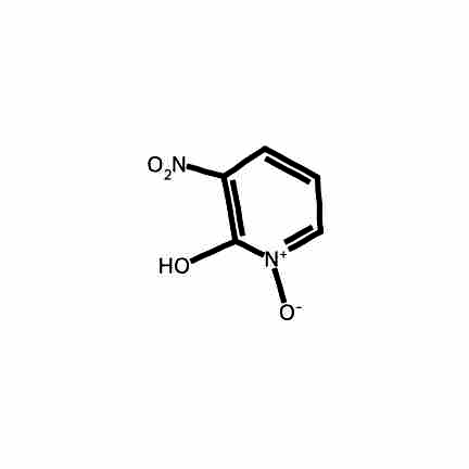 O=[N+]([O-])c1ccc[n+]([O-])c1O